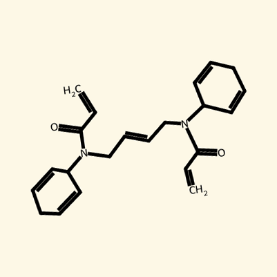 C=CC(=O)N(C/C=C/CN(C(=O)C=C)C1C=CCC=C1)C1C=CCC=C1